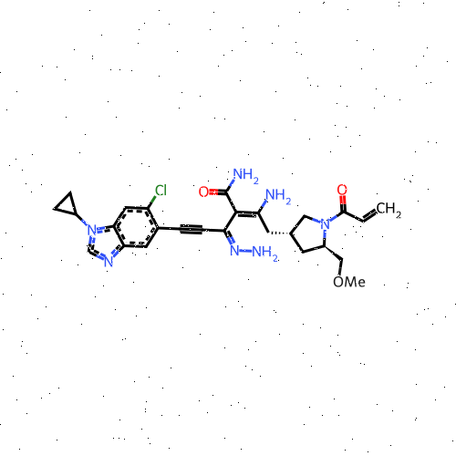 C=CC(=O)N1C[C@@H](C/C(N)=C(C(N)=O)\C(C#Cc2cc3ncn(C4CC4)c3cc2Cl)=N/N)C[C@@H]1COC